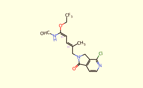 C/C(=C\C=C(/NC=O)OCC(F)(F)F)CN1Cc2c(ccnc2Cl)C1=O